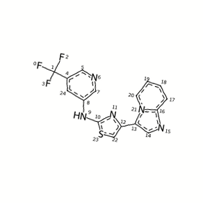 FC(F)(F)c1cncc(Nc2nc(-c3cnc4ccccn34)cs2)c1